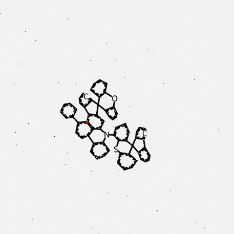 c1ccc(-c2ccc(-c3ccccc3N(c3ccc4c(c3)C3(c5ccccc5Oc5ccccc53)c3ccccc3-4)c3cccc4c3Sc3ccccc3C43c4ccccc4-c4ccccc43)cc2)cc1